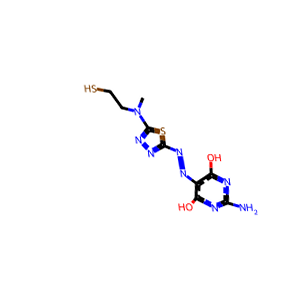 CN(CCS)c1nnc(/N=N/c2c(O)nc(N)nc2O)s1